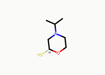 CC(C)N1CCO[C@H](S)C1